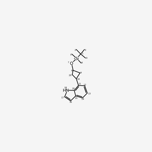 CC(C)(C)[Si](C)(C)OC1CC(c2cccc3cc[nH]c23)C1